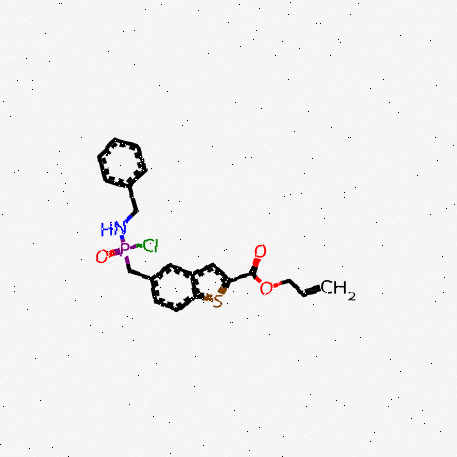 C=CCOC(=O)c1cc2cc(CP(=O)(Cl)NCc3ccccc3)ccc2s1